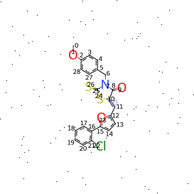 COc1ccc(CN2C(=O)/C(=C/c3ccc(-c4ccccc4Cl)o3)SC2=S)cc1